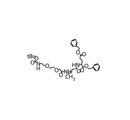 CC(CCC(=O)NC(CCC(=O)OCc1ccccc1)C(=O)OCc1ccccc1)NC(=O)COCCOCCNC(=O)OC(C)(C)C